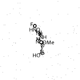 COc1cc2c(Nc3cn(CC(=O)Nc4cccc(F)c4)nn3)ncnc2cc1OCCCN1CCC[C@H]1CO